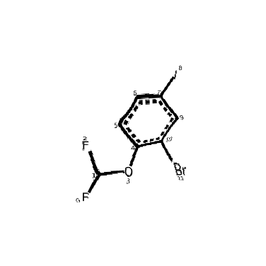 FC(F)Oc1ccc(I)cc1Br